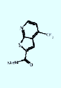 CNC(=O)c1cc2c(C(F)(F)F)ccnc2s1